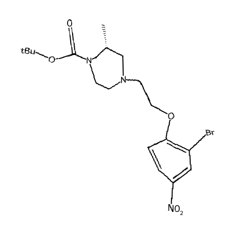 C[C@@H]1CN(CCOc2ccc([N+](=O)[O-])cc2Br)CCN1C(=O)OC(C)(C)C